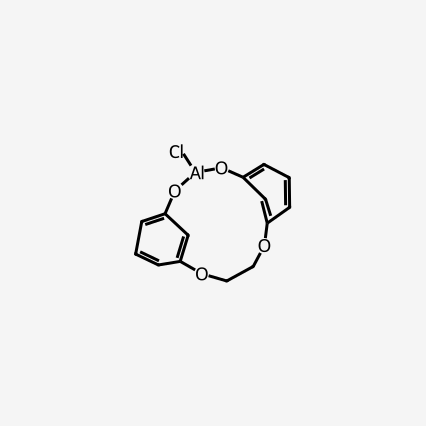 [Cl][Al]1[O]c2cccc(c2)OCCOc2cccc(c2)[O]1